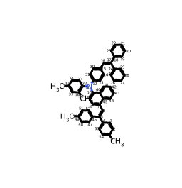 Cc1ccc(C(=Cc2ccc(N(c3ccc(C=C(c4ccccc4)c4ccccc4)cc3)c3ccc(C)cc3C)c3ccccc23)c2ccc(C)cc2)cc1